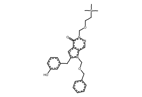 C[Si](C)(C)CCOCn1ncc2c(cc(Cc3cccc(O)c3)n2COCc2ccccc2)c1=O